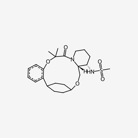 CC1(C)Oc2ccccc2C2CCC(CC2)OC[C@H]2[C@@H](NS(C)(=O)=O)CCCN2C1=O